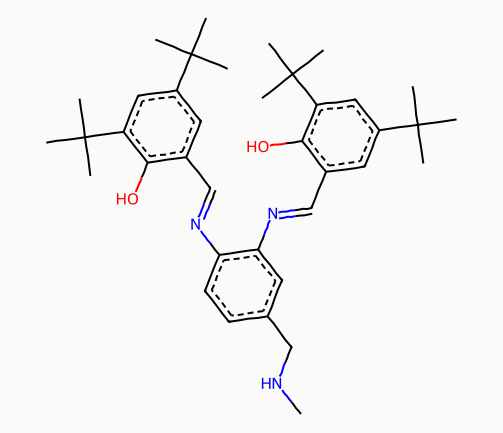 CNCc1ccc(/N=C/c2cc(C(C)(C)C)cc(C(C)(C)C)c2O)c(/N=C/c2cc(C(C)(C)C)cc(C(C)(C)C)c2O)c1